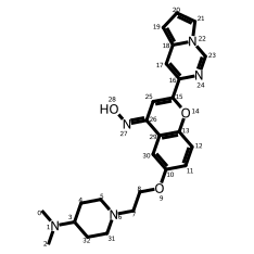 CN(C)C1CCN(CCOc2ccc3oc(-c4cc5cccn5cn4)c/c(=N\O)c3c2)CC1